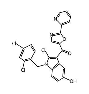 O=C(c1cnc(-c2ccccn2)o1)c1c(Cl)n(Cc2ccc(Cl)cc2Cl)c2ccc(O)cc12